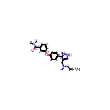 CNCCN(C)Cc1c[nH]nc1-c1ccc(Oc2cccc(C(=O)N(C)C)c2)cc1